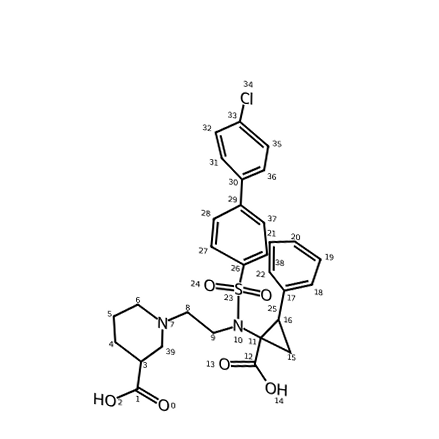 O=C(O)C1CCCN(CCN(C2(C(=O)O)CC2c2ccccc2)S(=O)(=O)c2ccc(-c3ccc(Cl)cc3)cc2)C1